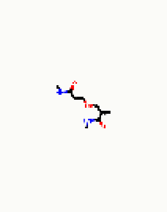 C=C(COCCC(=O)NC)C(=O)NC